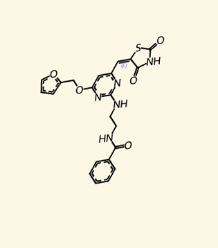 O=C1NC(=O)/C(=C\c2cc(OCc3ccco3)nc(NCCNC(=O)c3ccccc3)n2)S1